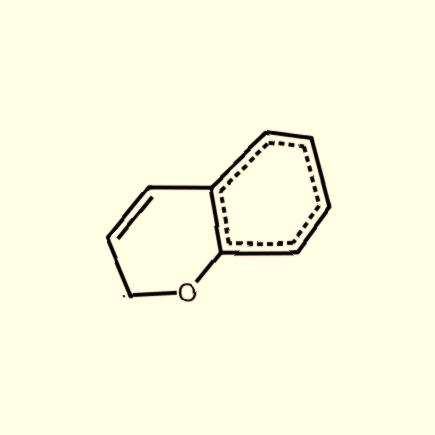 [CH]1C=Cc2ccccc2O1